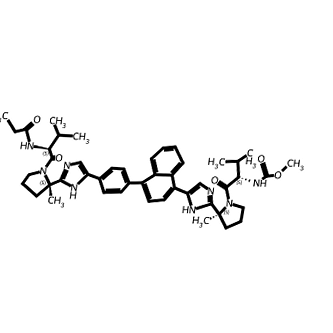 CCC(=O)N[C@H](C(=O)N1CCC[C@@]1(C)c1ncc(-c2ccc(-c3ccc(-c4cnc([C@]5(C)CCCN5C(=O)[C@@H](NC(=O)OC)C(C)C)[nH]4)c4ccccc34)cc2)[nH]1)C(C)C